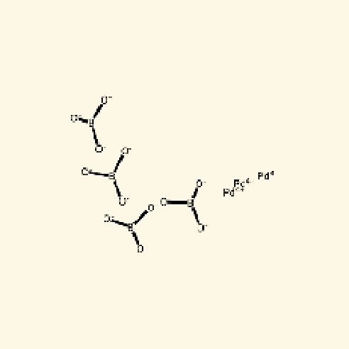 [O-]B([O-])[O-].[O-]B([O-])[O-].[O-]B([O-])[O-].[O-]B([O-])[O-].[Pd+4].[Pd+4].[Pd+4]